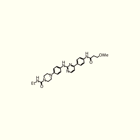 CCNC(=O)N1CCN(c2ccc(Nc3nccc(-c4ccc(NC(=O)CCOC)cc4)n3)cc2)CC1